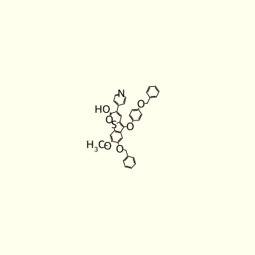 COc1cc2sc(C=C(C(=O)O)c3ccncc3)c(Oc3ccc(OCc4ccccc4)cc3)c2cc1OCc1ccccc1